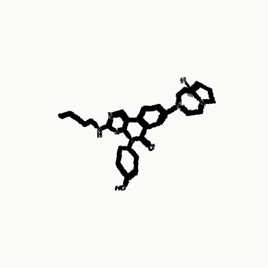 CCCCNc1ncc2c3ccc(N4CCN5CCC[C@@H]5C4)cc3c(=O)n(C3CCC(O)CC3)c2n1